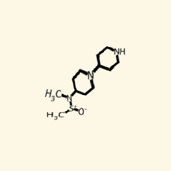 CN(C1CCN(C2CCNCC2)CC1)[S+](C)[O-]